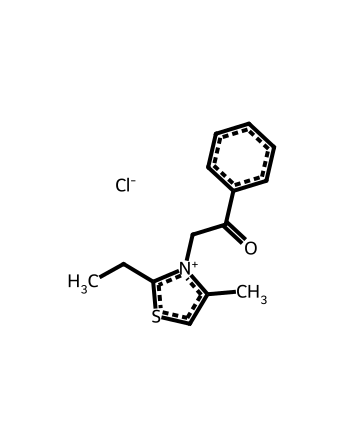 CCc1scc(C)[n+]1CC(=O)c1ccccc1.[Cl-]